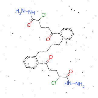 NNC(=O)C(Cl)CCC(=O)c1ccccc1CCCCc1ccccc1C(=O)CCC(Cl)C(=O)NN